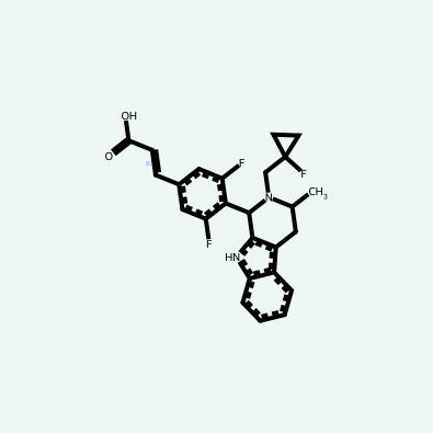 CC1Cc2c([nH]c3ccccc23)C(c2c(F)cc(/C=C/C(=O)O)cc2F)N1CC1(F)CC1